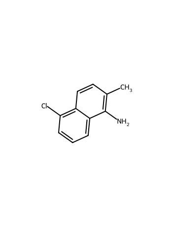 Cc1ccc2c(Cl)cccc2c1N